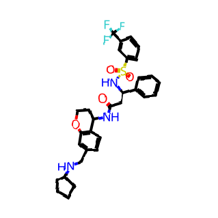 O=C(C[C@@H](NS(=O)(=O)c1cccc(C(F)(F)F)c1)c1ccccc1)NC1CCOc2cc(CNC3CCCC3)ccc21